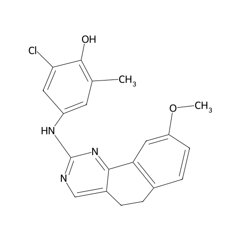 COc1ccc2c(c1)-c1nc(Nc3cc(C)c(O)c(Cl)c3)ncc1CC2